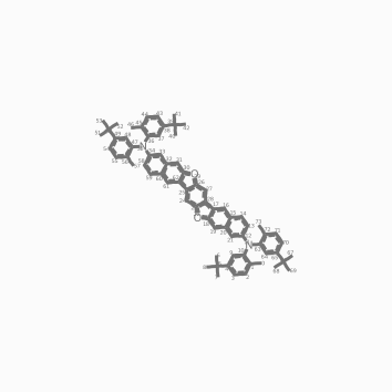 Cc1ccc(C(C)(C)C)cc1N(c1ccc2cc3c(cc2c1)oc1cc2c(cc13)oc1cc3cc(N(c4cc(C(C)(C)C)ccc4C)c4cc(C(C)(C)C)ccc4C)ccc3cc12)c1cc(C(C)(C)C)ccc1C